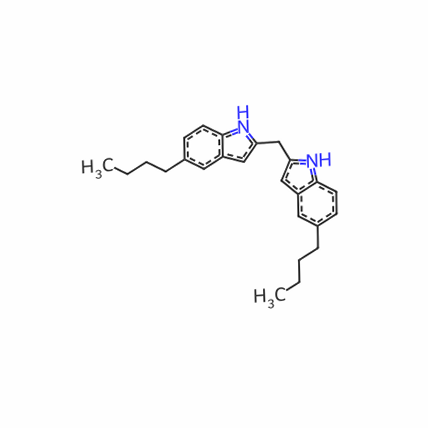 CCCCc1ccc2[nH]c(Cc3cc4cc(CCCC)ccc4[nH]3)cc2c1